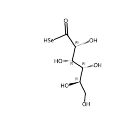 O=C([SeH])[C@H](O)[C@@H](O)[C@H](O)[C@H](O)CO